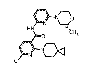 C[C@@H]1CN(c2cccc(NC(=O)c3ccc(Cl)nc3N3CCC4(CC3)CC4)n2)CCO1